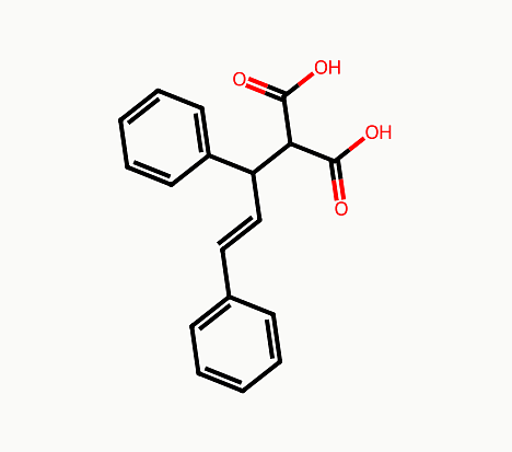 O=C(O)C(C(=O)O)C(C=Cc1ccccc1)c1ccccc1